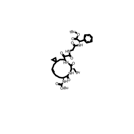 CC(C)COC(=O)N[C@H]1CCC=CCC2(CC2)CC(C(=O)C(=O)NCC(=O)N[C@H](C(=O)OC(C)(C)C)c2ccccc2)NC(=O)[C@H](CC(C)C)NC1=O